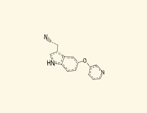 N#CCc1c[nH]c2ccc(Oc3cccnc3)cc12